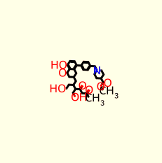 COC(=O)C1CCN(Cc2ccc(-c3ccc(O)c4c3CC(CC(CCO)C(CO)C(=O)CC(C)=O)CC4=O)cc2)CC1